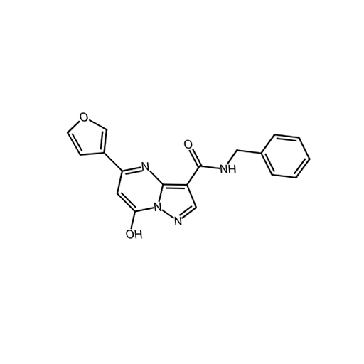 O=C(NCc1ccccc1)c1cnn2c(O)cc(-c3ccoc3)nc12